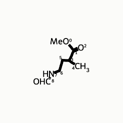 COC(=O)C(C)CCNC=O